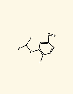 COc1ccc(F)c(OC(F)F)c1